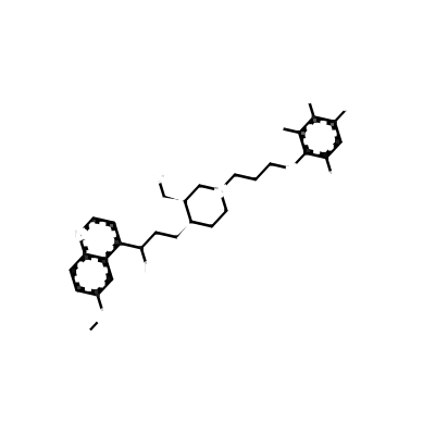 COc1ccc2nccc(C(F)CC[C@@H]3CCN(CCCSc4c(F)cc(F)c(F)c4F)C[C@@H]3CO)c2c1